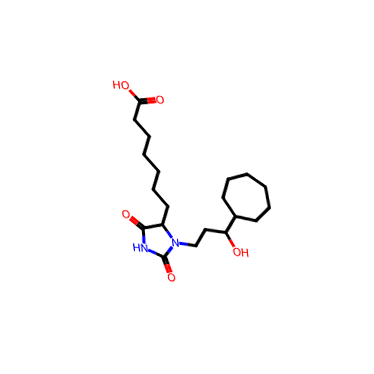 O=C(O)CCCCCCC1C(=O)NC(=O)N1CCC(O)C1CCCCCC1